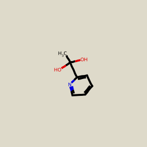 CC(O)(O)c1ccccn1